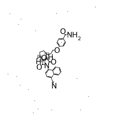 C[C@@]12CC[C@@](CCOc3ccc(C(N)=O)cc3)(O1)[C@H]1C(=O)N(c3ccc(C#N)c4ccccc34)C(=O)[C@H]12